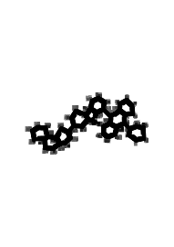 c1ccc(-c2c3ccccc3c(-c3cccc4c3sc3cc(-c5ccc6ccc7ccccc7c6c5)ccc34)c3ccccc23)cc1